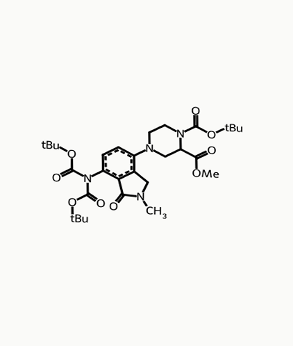 COC(=O)C1CN(c2ccc(N(C(=O)OC(C)(C)C)C(=O)OC(C)(C)C)c3c2CN(C)C3=O)CCN1C(=O)OC(C)(C)C